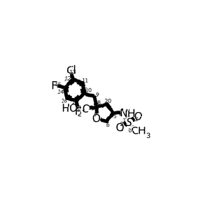 CS(=O)(=O)NC1COC(Cc2cc(Cl)c(F)cc2F)(C(=O)O)C1